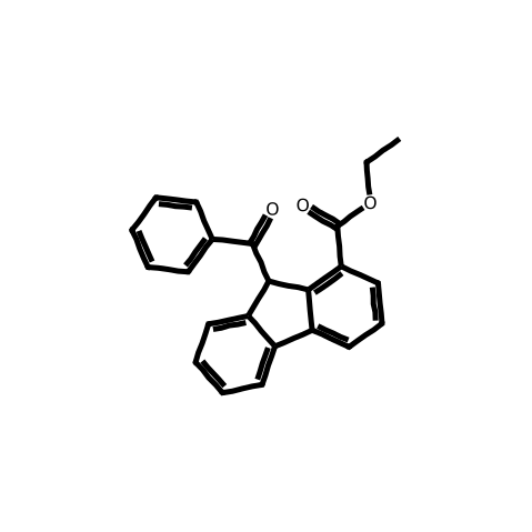 CCOC(=O)c1cccc2c1C(C(=O)c1ccccc1)c1ccccc1-2